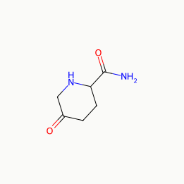 NC(=O)C1CCC(=O)CN1